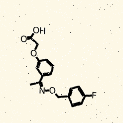 CC(=NOCc1ccc(F)cc1)c1cccc(OCC(=O)O)c1